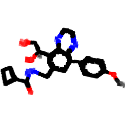 O=C(NCc1cc(-c2ccc(OC(F)(F)F)cc2)c2nccnc2c1[C@@H](O)CO)C1=CCC1